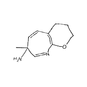 CC1(N)C=CC2=C(N=C1)OCCC2